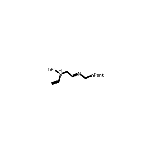 C=C[SiH](CC=NCCCCCC)CCC